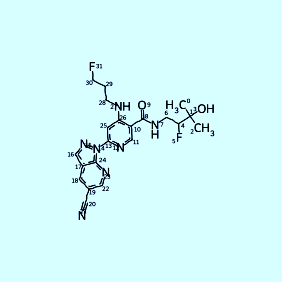 CC(C)(O)C(F)CNC(=O)c1cnc(-n2ncc3cc(C#N)cnc32)cc1NCCCF